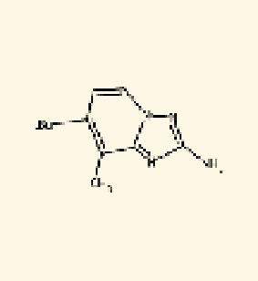 Cc1c(C(C)(C)C)ccn2nc(N)nc12